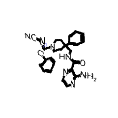 N#C/N=C(\Oc1ccccc1)N1CCC(CNC(=O)c2nccnc2N)(c2ccccc2)CC1